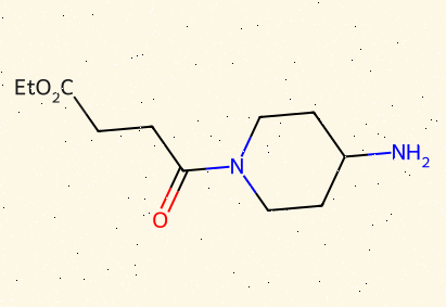 CCOC(=O)CCC(=O)N1CCC(N)CC1